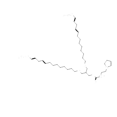 CCCCCC=CCC=CCCCCCCCCOCC(COCCCCCCCCC=CCC=CCCCCC)COC(=O)NCCN1CCCC1